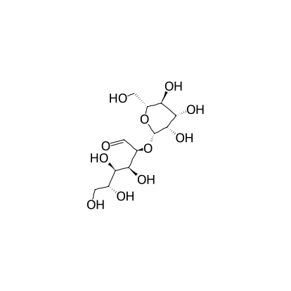 O=C[C@@H](O[C@@H]1O[C@H](CO)[C@@H](O)[C@H](O)[C@@H]1O)[C@@H](O)[C@H](O)[C@H](O)CO